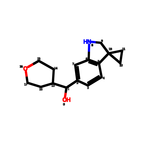 OC(c1ccc2c(c1)NCC21CC1)C1CCOCC1